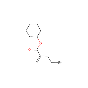 C=C(CCC(C)C)C(=O)OC1CCCCC1